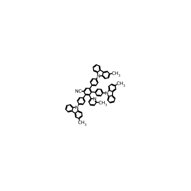 Cc1ccc2c(c1)c1ccccc1n2-c1ccc(-c2cc(C#N)c(-c3ccc(-n4c5ccccc5c5cc(C)ccc54)cc3)c(-c3cccc(C)n3)c2-c2ccc(-n3c4ccccc4c4cc(C)ccc43)cc2)cc1